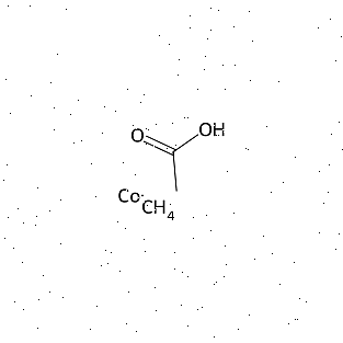 C.CC(=O)O.[Co]